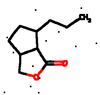 CCCC1CCC2COC(=O)C12